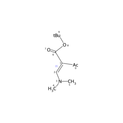 CC(=O)/C(=C\N(C)C)C(=O)OC(C)(C)C